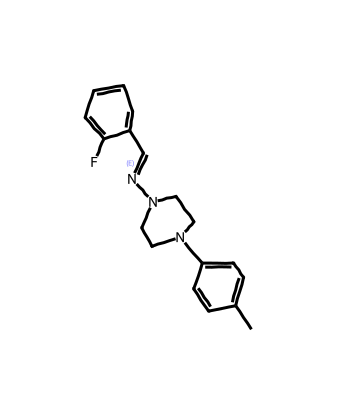 Cc1ccc(N2CCN(/N=C/c3ccccc3F)CC2)cc1